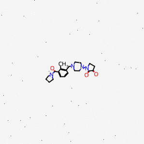 Cc1c(CN2CCN(N3CCC(=O)C3=O)CC2)cccc1C(=O)N1CCCC1